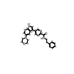 O=C(NCCc1ccccc1)c1ncc(-c2c[nH]c3ncc(N4CCOCC4)cc23)cn1